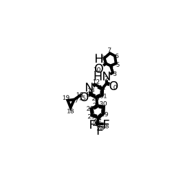 O=C(NCC1CCCCC1O)c1cnc(OCC2CC2)c(-c2ccc(C(F)(F)F)cc2)c1